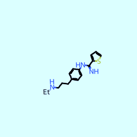 CCNCCCc1ccc(NC(=N)c2cccs2)cc1